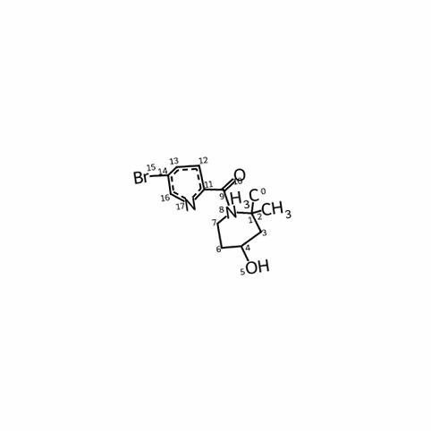 CC1(C)CC(O)CCN1C(=O)c1ccc(Br)cn1